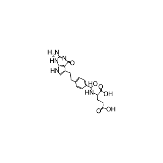 Nc1nc(=O)c2c(CCc3ccc(C(O)NC(CCC(=O)O)C(=O)O)cc3)c[nH]c2[nH]1